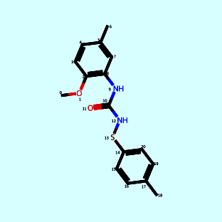 COc1ccc(C)cc1NC(=O)NSc1ccc(C)cc1